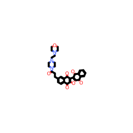 O=C(CCc1ccc2c(=O)c3oc4c(=O)c5ccccc5c(=O)c4c3c(=O)c2c1)N1CCN(CCN2CCOCC2)CC1